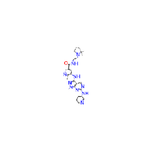 Cc1ncc(C(=O)NCCN2CCCC2(C)C)cc1Nc1nn(C)c2nc(Nc3cccnc3)ncc12